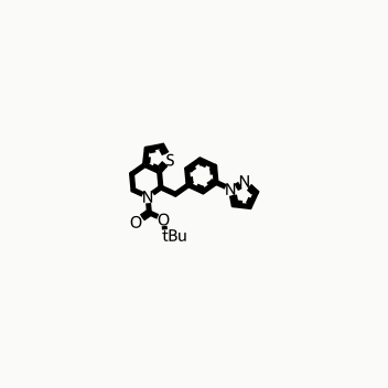 CC(C)(C)OC(=O)N1CCc2ccsc2C1Cc1cccc(-n2cccn2)c1